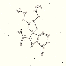 COCOCC(COCOC)(c1cccc(Br)n1)C(Cl)C(N)=O